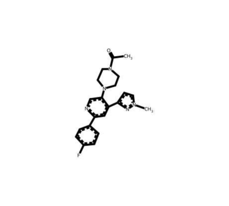 CC(=O)N1CCN(c2cnc(-c3ccc(F)cc3)cc2-c2ccn(C)n2)CC1